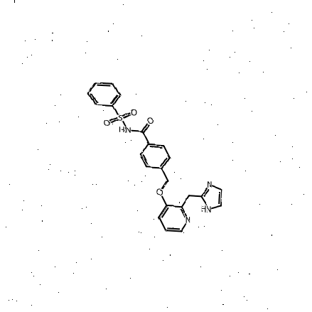 O=C(NS(=O)(=O)c1ccccc1)c1ccc(COc2cccnc2Cc2ncc[nH]2)cc1